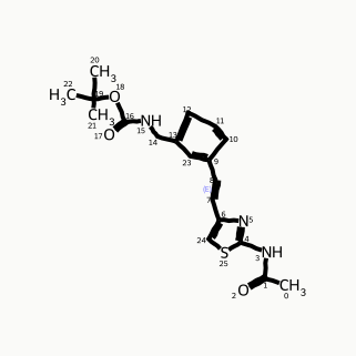 CC(=O)Nc1nc(/C=C/c2cccc(CNC(=O)OC(C)(C)C)c2)cs1